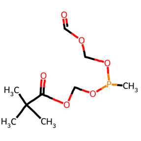 CP(OCOC=O)OCOC(=O)C(C)(C)C